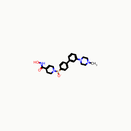 CN1CCN(c2cccc(-c3ccc([S+]([O-])N4CC=C(C(=O)NO)CC4)cc3)c2)CC1